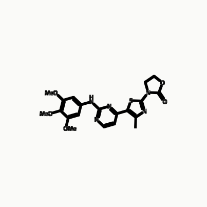 COc1cc(Nc2nccc(-c3sc(N4CCOC4=O)nc3C)n2)cc(OC)c1OC